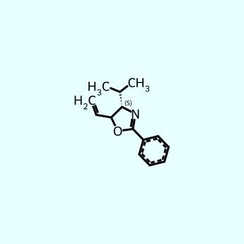 C=CC1OC(c2ccccc2)=N[C@H]1C(C)C